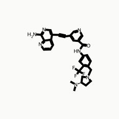 CN(C)[C@H]1CCN(Cc2ccc(NC(=O)c3cncc(C#Cc4cnc(N)c5ncccc45)c3)cc2C(F)(F)F)C1